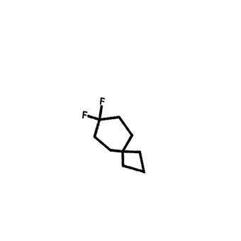 FC1(F)CCC2(CCC2)CC1